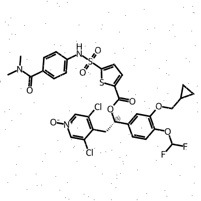 CN(C)C(=O)c1ccc(NS(=O)(=O)c2ccc(C(=O)O[C@@H](Cc3c(Cl)c[n+]([O-])cc3Cl)c3ccc(OC(F)F)c(OCC4CC4)c3)s2)cc1